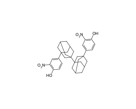 O=[N+]([O-])c1cc(C23CC4CC(C2)CC(C25CC6CC(CC(c7ccc(O)c([N+](=O)[O-])c7)(C6)C2)C5)(C4)C3)ccc1O